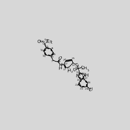 CC[S+]([O-])c1ccc(CC(=O)NC2=CCC(OC(C)(C)c3nc4ccc(Cl)cc4[nH]3)C#C2)cc1